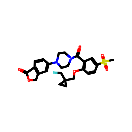 CS(=O)(=O)c1ccc(OCC2(CF)CC2)c(C(=O)N2CCN(c3ccc4c(c3)COC4=O)CC2)c1